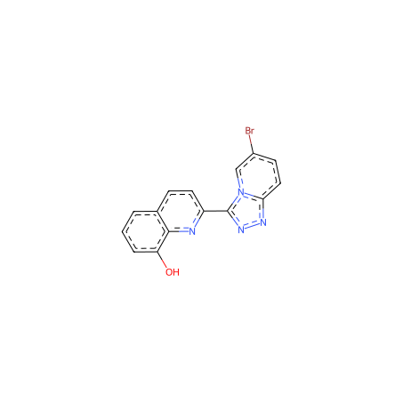 Oc1cccc2ccc(-c3nnc4ccc(Br)cn34)nc12